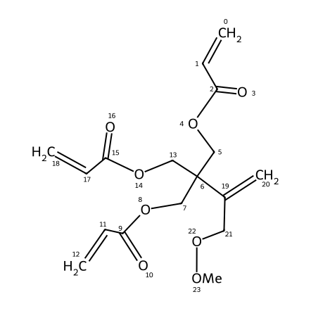 C=CC(=O)OCC(COC(=O)C=C)(COC(=O)C=C)C(=C)COOC